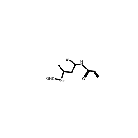 C=CC(=O)NC(CC)CC(C)NC=O